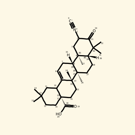 [C-]#[N+]C1C[C@]2(C)[C@H]3CC=C4C5CC(C)(C)CC[C@]5(C(=O)O)CC[C@@]4(C)[C@]3(C)CC[C@H]2C(C)(C)C1=O